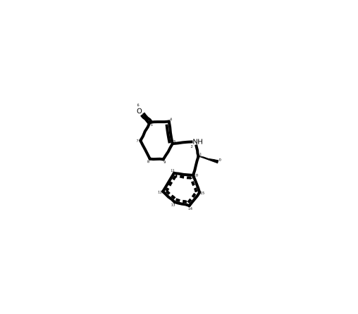 C[C@H](NC1=CC(=O)CCC1)c1ccccc1